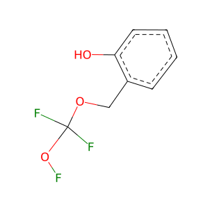 Oc1ccccc1COC(F)(F)OF